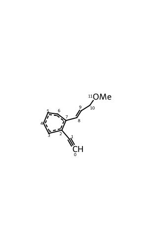 C#Cc1ccccc1C=CCOC